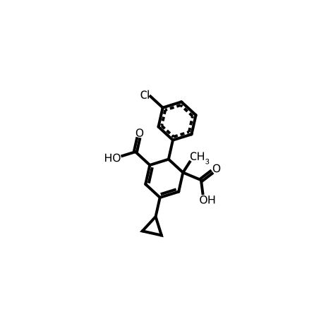 CC1(C(=O)O)C=C(C2CC2)C=C(C(=O)O)C1c1cccc(Cl)c1